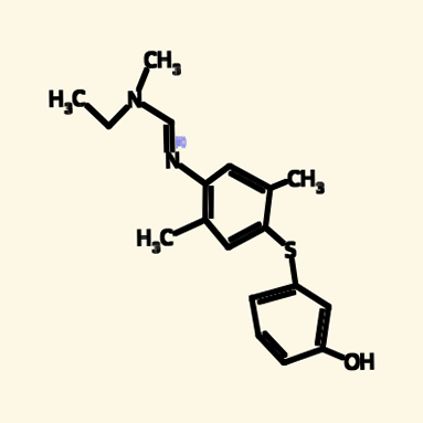 CCN(C)/C=N/c1cc(C)c(Sc2cccc(O)c2)cc1C